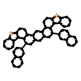 c1ccc2cc(-c3cc4cc5cc(-c6ccc7ccccc7c6)c6c(ccc7sc8ccccc8c76)c5cc4c4ccc5sc6ccccc6c5c34)ccc2c1